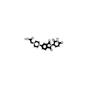 O=C(O)CN1CCN(c2ccc3c(c2)C(=O)N(C2CCC(=O)NC2=O)C3=O)CC1